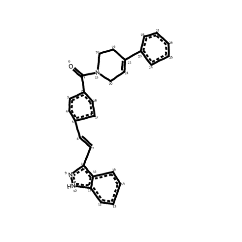 O=C(c1ccc(C=Cc2n[nH]c3ccccc23)cc1)N1CC=C(c2ccccc2)CC1